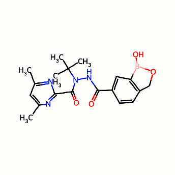 Cc1cc(C)nc(C(=O)N(NC(=O)c2ccc3c(c2)B(O)OC3)C(C)(C)C)n1